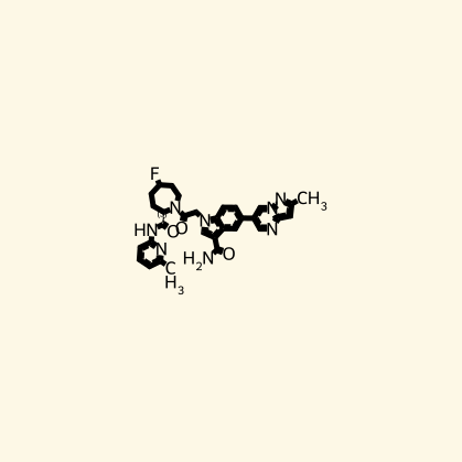 Cc1cccc(NC(=O)[C@@H]2CCC(F)CCN2C(=O)Cn2cc(C(N)=O)c3cc(-c4cnc5cc(C)nn5c4)ccc32)n1